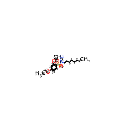 CCCCCCCCNS(=O)(=O)c1ccc(OCC)cc1OCC